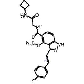 COc1c(C(=O)NCC(=O)NC2CCC2)ccc2[nH]nc(/C=C/c3ccc(F)cc3)c12